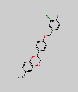 O=Cc1ccc2c(c1)OCC(c1ccc(OCc3ccc(Cl)c(Cl)c3)cc1)O2